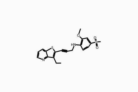 CCc1c(C#CCNc2ccc(S(C)(=O)=O)cc2OC)sc2cccnc12